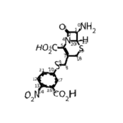 N[C@@H]1C(=O)N2C(C(=O)O)=C(CSc3ccc([N+](=O)[O-])c(C(=O)O)c3)CS[C@@H]12